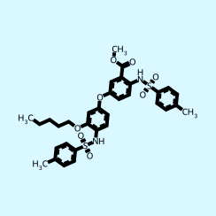 CCCCCOc1cc(Oc2ccc(NS(=O)(=O)c3ccc(C)cc3)c(C(=O)OC)c2)ccc1NS(=O)(=O)c1ccc(C)cc1